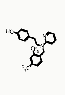 Oc1ccc(CCN(Cc2ccc(C(F)(F)F)cc2C(F)(F)F)c2ccccn2)cc1